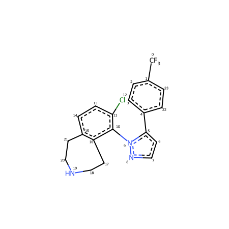 FC(F)(F)c1ccc(-c2ccnn2-c2c(Cl)ccc3c2CCNCC3)cc1